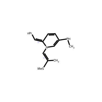 CCC/C=C1\C=CC(PC)=CN1/C=C(\C)SC